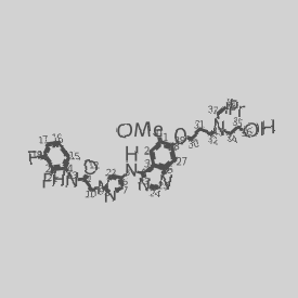 COc1cc2c(Nc3cnn(CC(=O)Nc4cccc(F)c4F)c3)ncnc2cc1OCCCN(CCO)CC(C)C